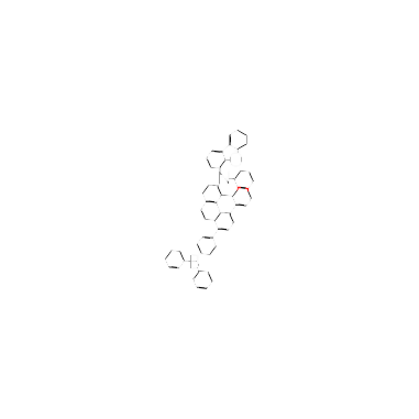 c1ccc(B(c2ccccc2)c2ccc(-c3ccc4c5ccccc5c5c(N(c6ccccc6)c6cccc7c6oc6ccccc67)ccc6ccc3c4c65)cc2)cc1